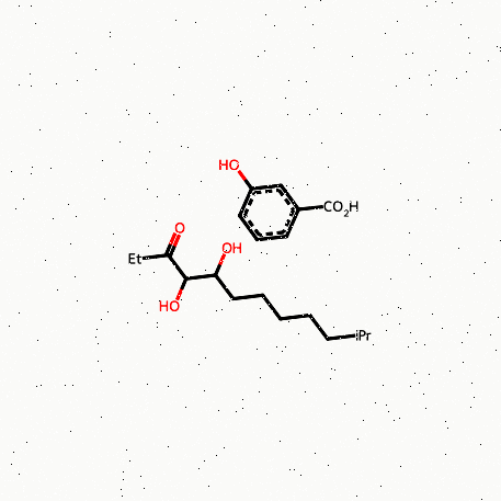 CCC(=O)C(O)C(O)CCCCCC(C)C.O=C(O)c1cccc(O)c1